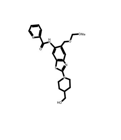 COCOCc1cc2nc(N3CCC(CO)CC3)sc2cc1NC(=O)c1ccccn1